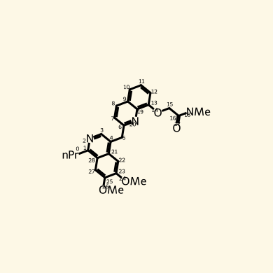 CCCc1ncc(Cc2ccc3cccc(OCC(=O)NC)c3n2)c2cc(OC)c(OC)cc12